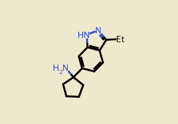 CCc1n[nH]c2cc(C3(N)CCCC3)ccc12